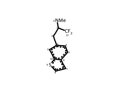 CNC(Cc1ccc2ccsc2c1)C(F)(F)F